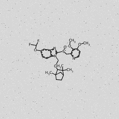 COc1ccnc(C[S+]([O-])c2nc3cc(OC(F)F)ccc3n2COC2C3(C)CCC(C3)C2(C)C)c1OC